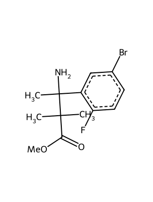 COC(=O)C(C)(C)C(C)(N)c1cc(Br)ccc1F